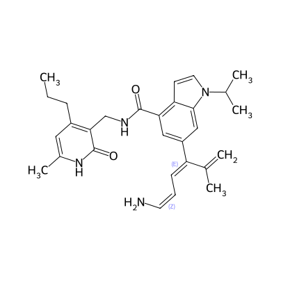 C=C(C)/C(=C\C=C/N)c1cc(C(=O)NCc2c(CCC)cc(C)[nH]c2=O)c2ccn(C(C)C)c2c1